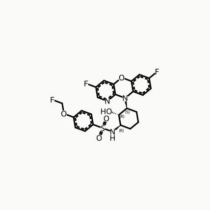 O=S(=O)(N[C@@H]1CCC[C@H](N2c3ccc(F)cc3Oc3cc(F)cnc32)[C@H]1O)c1ccc(OCF)cc1